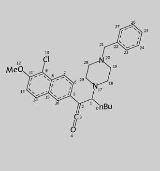 CCCCC(C(=C=O)c1ccc2c(Cl)c(OC)ccc2c1)N1CCN(Cc2ccccc2)CC1